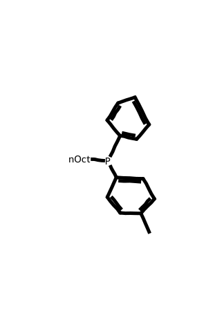 CCCCCCCCP(c1ccccc1)c1ccc(C)cc1